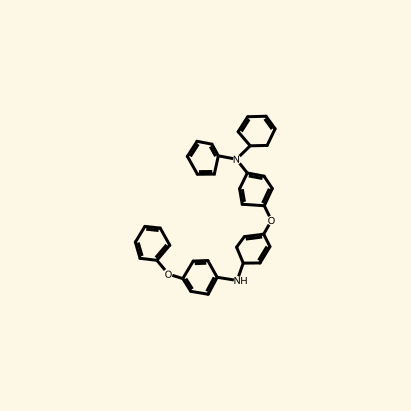 C1=CCC(N(c2ccccc2)c2ccc(OC3=CCC(Nc4ccc(Oc5ccccc5)cc4)C=C3)cc2)C=C1